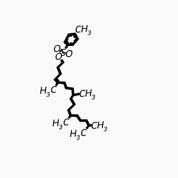 CC(=CCCCOS(=O)(=O)c1ccc(C)cc1)CCCC(C)CCCC(C)CCCC(C)C